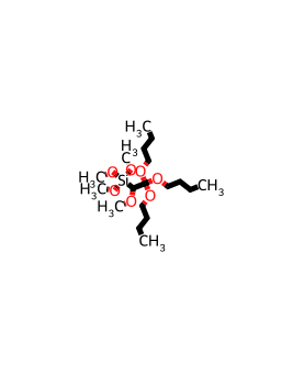 CCCCOC(OCCCC)(OCCCC)C(OC)[Si](OC)(OC)OC